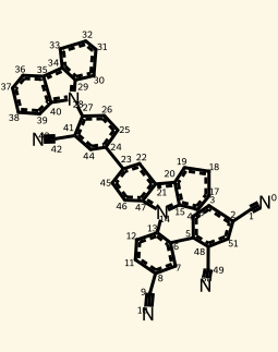 N#Cc1ccc(-c2cc(C#N)ccc2-n2c3ccccc3c3cc(-c4ccc(-n5c6ccccc6c6ccccc65)c(C#N)c4)ccc32)c(C#N)c1